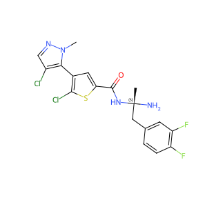 Cn1ncc(Cl)c1-c1cc(C(=O)N[C@](C)(N)Cc2ccc(F)c(F)c2)sc1Cl